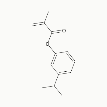 C=C(C)C(=O)Oc1cccc(C(C)C)c1